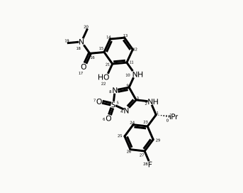 CC(C)[C@@H](NC1=NS(=O)(=O)N=C1Nc1cccc(C(=O)N(C)C)c1O)c1cccc(F)c1